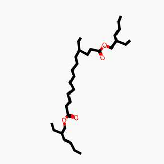 CCCCC(CC)COC(=O)CCCCCCCCCC(CC)CCC(=O)OCC(CC)CCCC